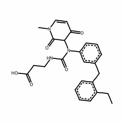 CCc1ccccc1Cc1cccc(N(C(=O)NCCC(=O)O)C2C(=O)C=CN(C)C2=O)c1